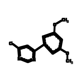 COc1cc(OC)cc(-c2cc(Cl)ncn2)c1